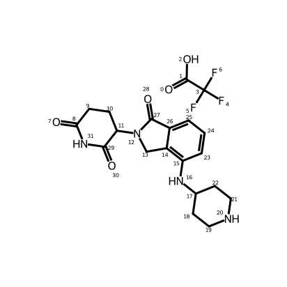 O=C(O)C(F)(F)F.O=C1CCC(N2Cc3c(NC4CCNCC4)cccc3C2=O)C(=O)N1